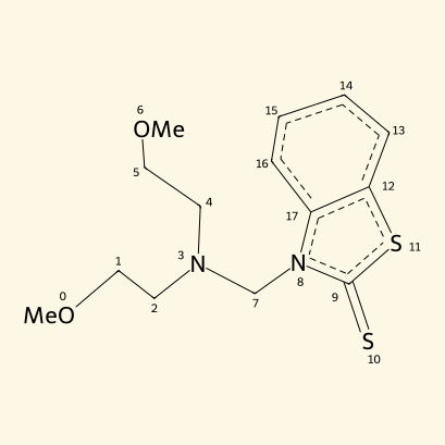 COCCN(CCOC)Cn1c(=S)sc2ccccc21